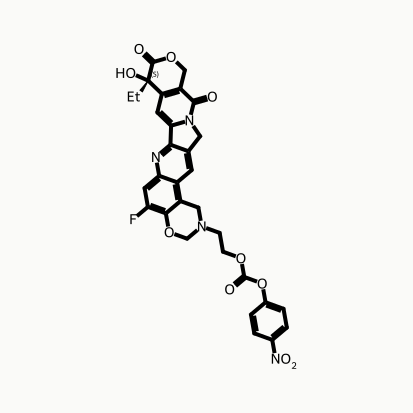 CC[C@@]1(O)C(=O)OCc2c1cc1n(c2=O)Cc2cc3c4c(c(F)cc3nc2-1)OCN(CCOC(=O)Oc1ccc([N+](=O)[O-])cc1)C4